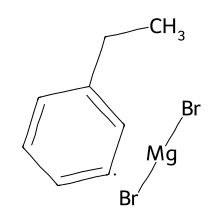 CCc1c[c]ccc1.[Br][Mg][Br]